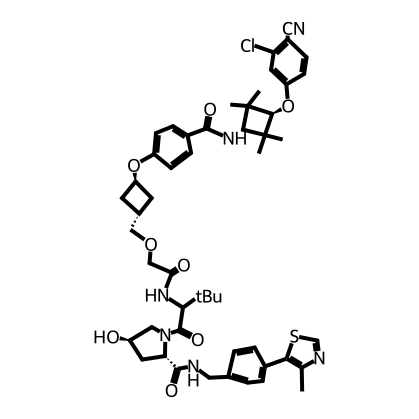 Cc1ncsc1-c1ccc(CNC(=O)[C@@H]2C[C@@H](O)CN2C(=O)C(NC(=O)COC[C@H]2C[C@H](Oc3ccc(C(=O)N[C@H]4C(C)(C)[C@H](Oc5ccc(C#N)c(Cl)c5)C4(C)C)cc3)C2)C(C)(C)C)cc1